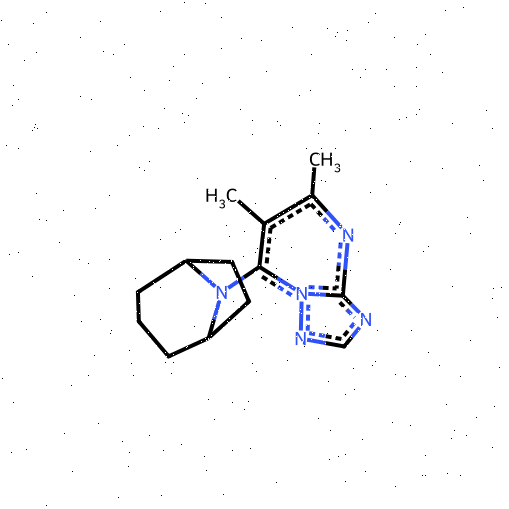 Cc1nc2ncnn2c(N2C3CCCC2CC3)c1C